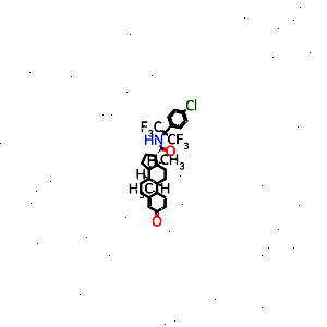 C[C@]12CC[C@H]3[C@@H](CCC4=CC(=O)CC[C@@]43C)[C@@H]1CC[C@@H]2C(=O)NC(c1ccc(Cl)cc1)(C(F)(F)F)C(F)(F)F